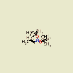 CC=CN(O[Si](C)(C)C)O[Si](C)(C)C